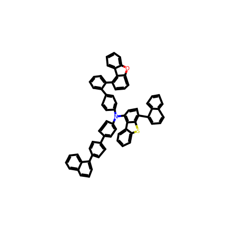 c1ccc(-c2cccc3oc4ccccc4c23)c(-c2ccc(N(c3ccc(-c4ccc(-c5cccc6ccccc56)cc4)cc3)c3ccc(-c4cccc5ccccc45)c4sc5ccccc5c34)cc2)c1